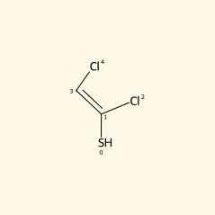 S/C(Cl)=C/Cl